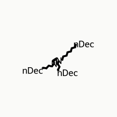 CCCCCCCCCCCCCCCCCN1C=CN(CCCCCCCCCCCCCC)C1CCCCCCCCCCCC